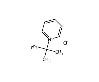 CCCC(C)(C)[n+]1ccccc1.[Cl-]